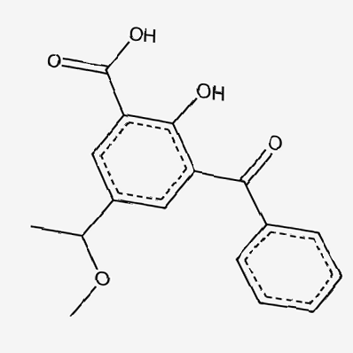 COC(C)c1cc(C(=O)O)c(O)c(C(=O)c2ccccc2)c1